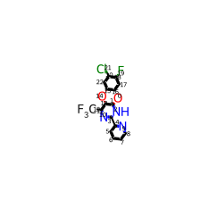 O=c1[nH]c(-c2ccccn2)nc(C(F)(F)F)c1Oc1ccc(F)c(Cl)c1